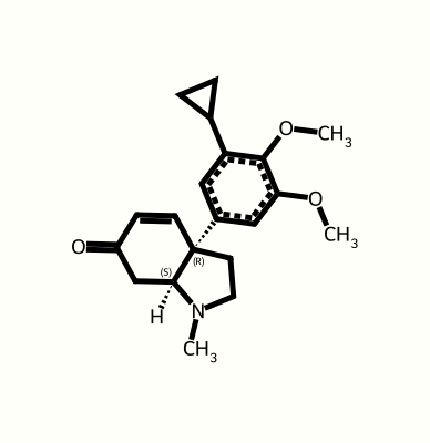 COc1cc([C@@]23C=CC(=O)C[C@@H]2N(C)CC3)cc(C2CC2)c1OC